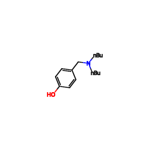 CCCCN(CCCC)Cc1ccc(O)cc1